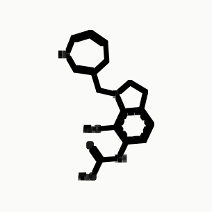 COC(=O)Nc1ccc2c(c1OC)N(CC1=CNC=C=CC1)CC2